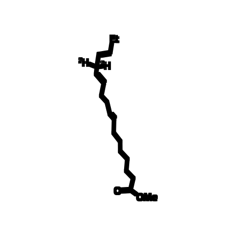 [2H]C([2H])(C=CCC)C=CCCC=CCCCCCCC(=O)OC